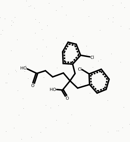 O=C(O)CCCC(Cc1ccccc1Cl)(Cc1ccccc1Cl)C(=O)O